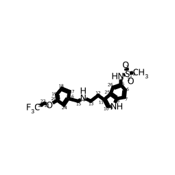 CS(=O)(=O)Nc1ccc2[nH]cc(CCNCc3cccc(OCC(F)(F)F)c3)c2c1